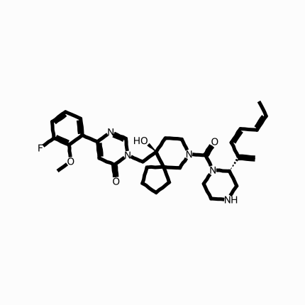 C=C(/C=C\C=C/C)[C@@H]1CNCCN1C(=O)N1CC[C@@](O)(Cn2cnc(-c3cccc(F)c3OC)cc2=O)C2(CCCC2)C1